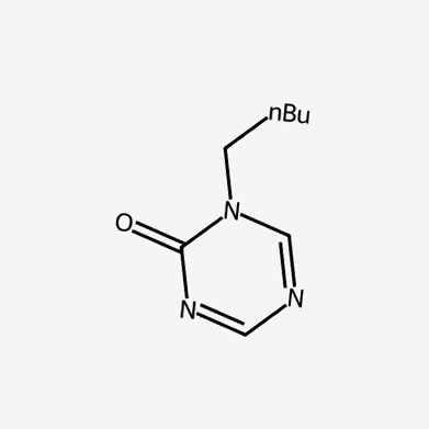 CCCCCn1cncnc1=O